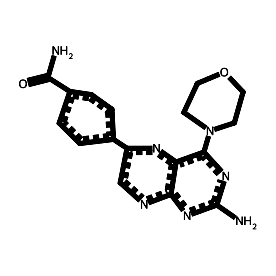 NC(=O)c1ccc(-c2cnc3nc(N)nc(N4CCOCC4)c3n2)cc1